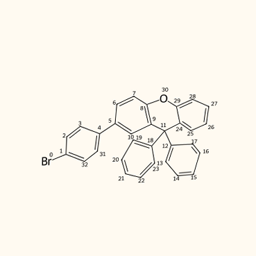 Brc1ccc(-c2ccc3c(c2)C(c2ccccc2)(c2ccccc2)c2ccccc2O3)cc1